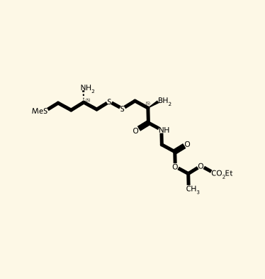 B[C@H](CSSC[C@@H](N)CCSC)C(=O)NCC(=O)OC(C)OC(=O)OCC